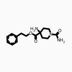 NC(=O)N1CCC(N)(C(=O)OCCc2ccccc2)CC1